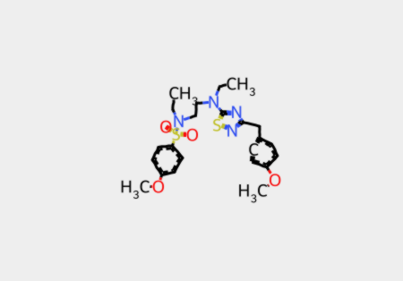 CCN(CCN(CC)S(=O)(=O)c1ccc(OC)cc1)c1nc(Cc2ccc(OC)cc2)ns1